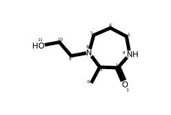 CC1C(=O)NCCCN1CCO